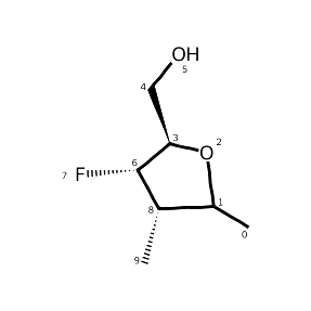 CC1O[C@H](CO)[C@@H](F)[C@H]1C